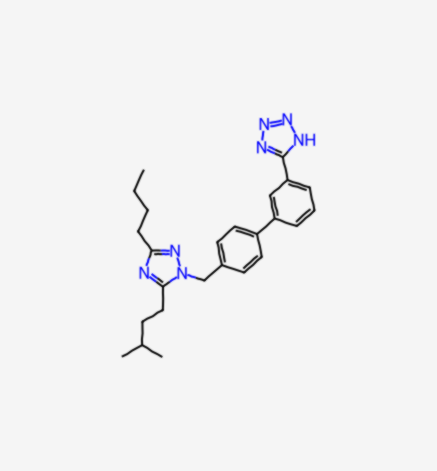 CCCCc1nc(CCC(C)C)n(Cc2ccc(-c3cccc(-c4nnn[nH]4)c3)cc2)n1